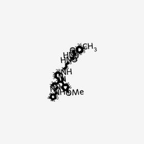 COc1ccc(-c2nn3c(NCCCCNC(=O)NS(=O)(=O)c4ccc(C)cc4)cccc3c2-c2ccnc(NC3CCCC3)n2)cc1